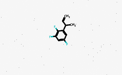 [CH2]C(C=C)c1cc(F)cc(F)c1F